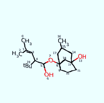 CC(C)=CC(C(O)OC12CCCC(O)(CC(C)C1)C2)C(C)(C)C